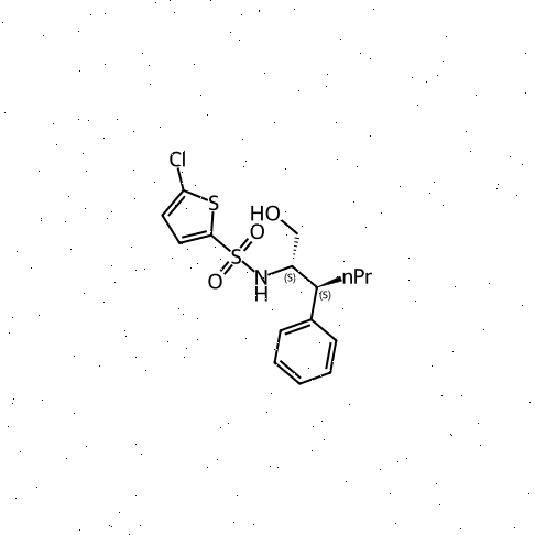 CCC[C@@H](c1ccccc1)[C@@H](CO)NS(=O)(=O)c1ccc(Cl)s1